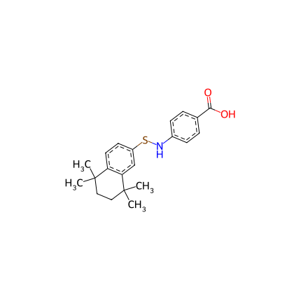 CC1(C)CCC(C)(C)c2cc(SNc3ccc(C(=O)O)cc3)ccc21